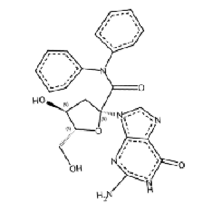 Nc1nc2c(ncn2[C@@]2(C(=O)N(c3ccccc3)c3ccccc3)C[C@H](O)[C@@H](CO)O2)c(=O)[nH]1